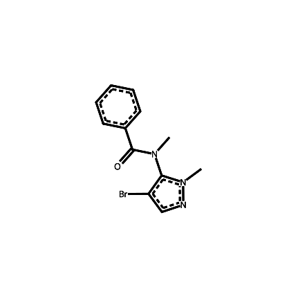 CN(C(=O)c1ccccc1)c1c(Br)cnn1C